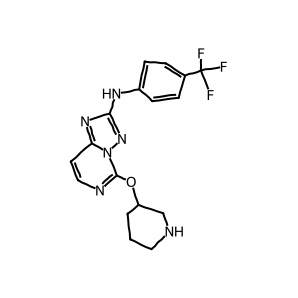 FC(F)(F)c1ccc(Nc2nc3ccnc(OC4CCCNC4)n3n2)cc1